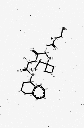 C[C@H](NC(=O)[C@H](CC(=O)NCC(C)(C)C)NC1(CN)COC1)C(=O)N[C@@H]1CCCc2ccccc21